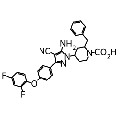 N#Cc1c(-c2ccc(Oc3ccc(F)cc3F)cc2)nn(C2CCN(C(=O)O)C(Cc3ccccc3)C2)c1N